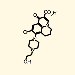 O=C(O)c1cn2c3c(c(N4CCN(CCO)CC4)c(Cl)cc3c1=O)CCC2